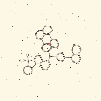 CC1(C)c2ccccc2-c2c1ccc1c(N(c3ccc(-c4cccc5ccccc45)cc3)c3ccc(-c4cccc5cccc(-c6ccccc6)c45)cc3)cccc21